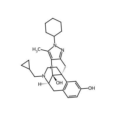 Cc1c2c(nn1C1CCCCC1)C[C@]13CCN(CC4CC4)[C@H](Cc4ccc(O)cc41)[C@]3(O)C2